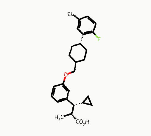 CCc1ccc(F)c([C@H]2CC[C@H](COc3cccc([C@H](C4CC4)[C@H](C)C(=O)O)c3)CC2)c1